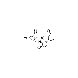 CCC(CC=O)c1ccc(Cl)c2nc(Oc3c(C)cc(Cl)cc3Cl)n(C)c12